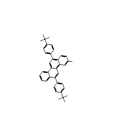 CC(C)(C)c1ccc(-c2cc3c4cc(Cl)ccc4c(-c4ccc(C(C)(C)C)cc4)cc3c3ccccc23)cc1